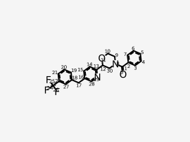 O=C(c1ccccc1)N1CCOC(c2ccc(Cc3cccc(C(F)(F)F)c3)cn2)C1